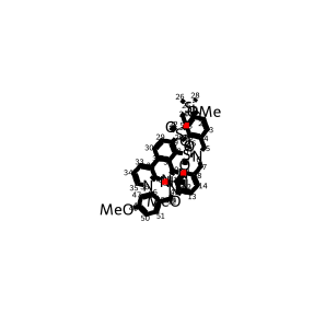 COc1ccc(CN(Cc2ccc(OC)cc2)S(=O)(=O)c2c(S(=O)(=O)CC[Si](C)(C)C)ccc(-c3cccnc3N)c2-c2nnn(Cc3ccc(OC)cc3)n2)cc1